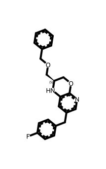 Fc1ccc(Cc2cnc3c(c2)N[C@@H](COCc2ccccc2)CO3)cc1